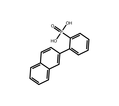 O=P(O)(O)c1ccccc1-c1ccc2ccccc2c1